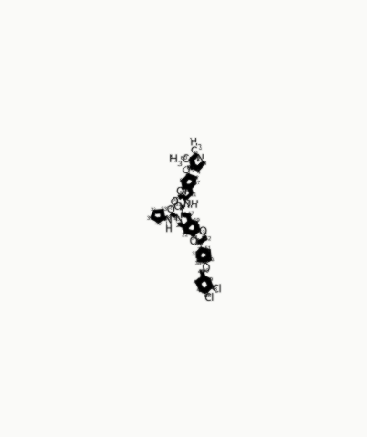 Cc1nccc(Oc2ccc(CC(NC(=O)[C@@H]3Cc4cc5c(cc4CN3C(=O)NC3CCCC3)O[C@@H](c3ccc(OCc4ccc(Cl)c(Cl)c4)cc3)CO5)C(=O)O)cc2)c1C